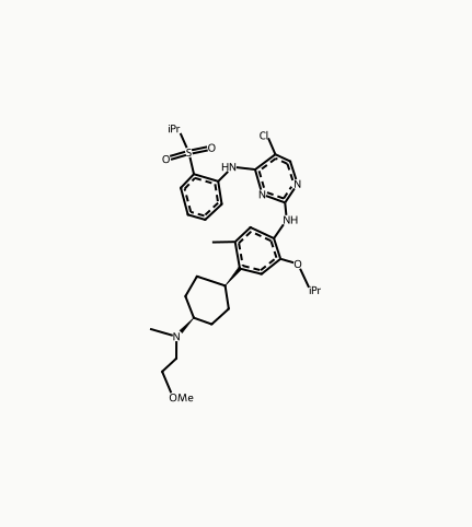 COCCN(C)[C@H]1CC[C@@H](c2cc(OC(C)C)c(Nc3ncc(Cl)c(Nc4ccccc4S(=O)(=O)C(C)C)n3)cc2C)CC1